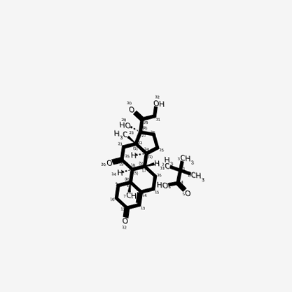 CC(C)(C)C(=O)O.C[C@]12CCC(=O)C=C1CC[C@@H]1[C@@H]2C(=O)C[C@@]2(C)[C@H]1CC[C@]2(O)C(=O)CO